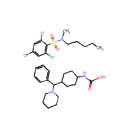 CCCCCN(C)S(=O)(=O)c1c(Cl)cc(Cl)cc1Cl.O=C(O)NC1CCC(C(c2ccccc2)N2CCCCC2)CC1